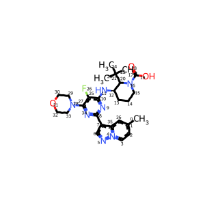 Cc1ccn2ncc(-c3nc(N[C@@H]4CCCN(C(=O)O)C4C(C)(C)C)c(F)c(N4CCOCC4)n3)c2c1